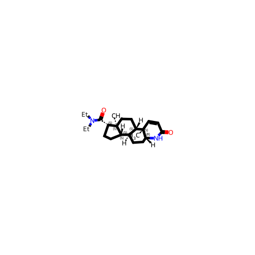 CCN(CC)C(=O)[C@H]1CC[C@H]2[C@@H]3CC[C@H]4NC(=O)C=C[C@]4(C)[C@H]3CC[C@]12C